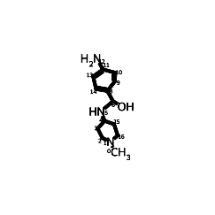 CN1CCC(NC(O)c2ccc(N)cc2)CC1